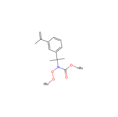 C=C(C)c1cccc(C(C)(C)N(OOC(C)(C)C)C(=O)OCCCC)c1